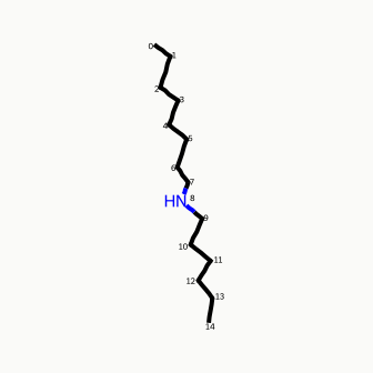 CCCCCCCCNCCCCCC